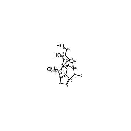 CC1C2=CC[C](=C2CCCO)[Zr+2][C]2=C(CCCO)C1=CC2.[Cl-].[Cl-]